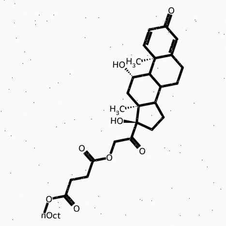 [CH2]CCCCCCCOC(=O)CCC(=O)OCC(=O)[C@@]1(O)CCC2C3CCC4=CC(=O)C=C[C@]4(C)C3[C@@H](O)C[C@@]21C